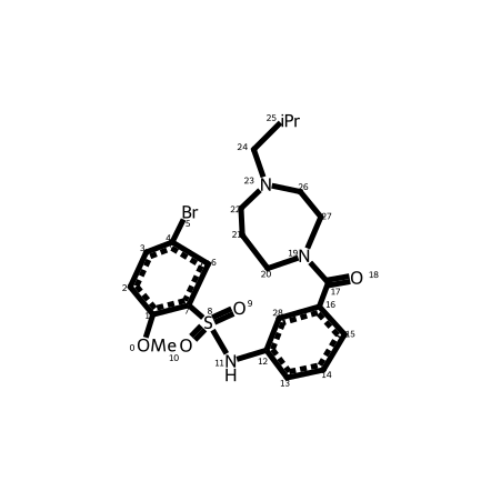 COc1ccc(Br)cc1S(=O)(=O)Nc1cccc(C(=O)N2CCCN(CC(C)C)CC2)c1